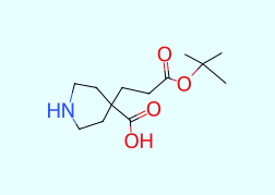 CC(C)(C)OC(=O)CCC1(C(=O)O)CCNCC1